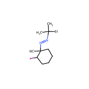 CCC(C)(C)N=NC1(C#N)CCCCC1I